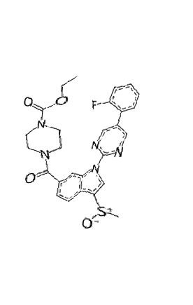 CCOC(=O)N1CCN(C(=O)c2ccc3c([S+](C)[O-])cn(-c4ncc(-c5ccccc5F)cn4)c3c2)CC1